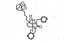 O=C1N(Cc2ccccc2)[C@@H]2CSC(O)(CCCCC34CC5CC(C3)OC(O5)O4)[C@@H]2N1Cc1ccccc1